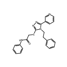 O=C(CSc1nnc(-c2cccnc2)n1CCc1ccccc1)Nc1ccccc1